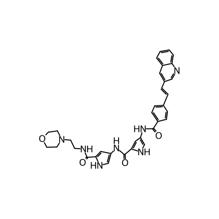 O=C(Nc1c[nH]c(C(=O)Nc2c[nH]c(C(=O)NCCN3CCOCC3)c2)c1)c1ccc(/C=C/c2cnc3ccccc3c2)cc1